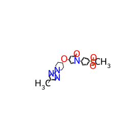 Cc1cnc(N2CCC(Oc3ccn(-c4ccc(S(C)(=O)=O)cc4)c(=O)c3)CC2)nc1